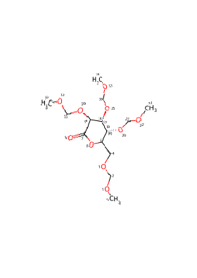 COCOCC1OC(=O)C(OCOC)[C@@H](OCOC)[C@@H]1OCOC